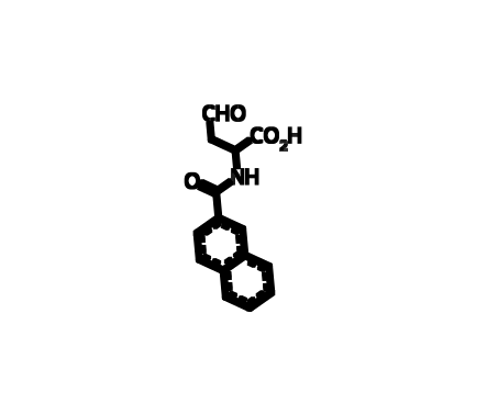 O=CCC(NC(=O)c1ccc2ccccc2c1)C(=O)O